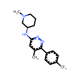 Cc1cc(N[C@@H]2CCCN(C)C2)nnc1-c1ccc(C(F)(F)F)cc1